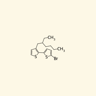 CCCCC(CC)Cc1ccsc1-c1ccc(Br)s1